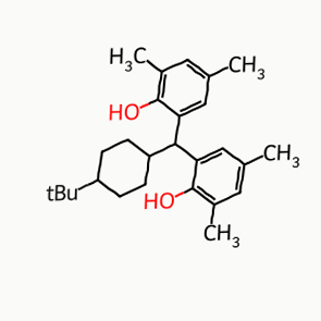 Cc1cc(C)c(O)c(C(c2cc(C)cc(C)c2O)C2CCC(C(C)(C)C)CC2)c1